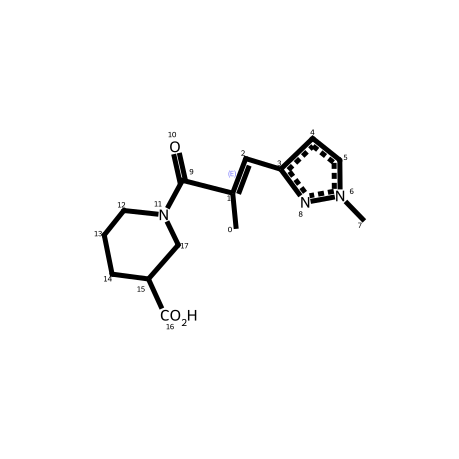 C/C(=C\c1ccn(C)n1)C(=O)N1CCCC(C(=O)O)C1